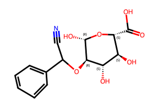 N#CC(O[C@@H]1[C@@H](O)[C@H](O)[C@@H](C(=O)O)O[C@H]1O)c1ccccc1